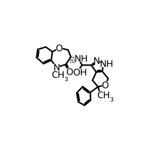 CN1C(=O)[C@@H](NC(O)c2n[nH]c3c2CC(C)(c2ccccc2)OC3)COC2CC=CC=C21